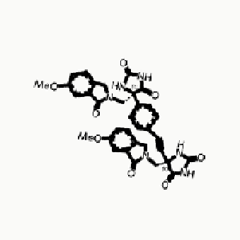 COc1ccc2c(c1)C(=O)N(C[C@@]1(C#Cc3ccc([C@@]4(CN5Cc6ccc(OC)cc6C5=O)NC(=O)NC4=O)cc3)NC(=O)NC1=O)C2